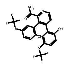 NC(=O)c1nccc(-c2cc(SC(F)(F)F)ccc2O)c1-c1cc(SC(F)(F)F)ccc1O